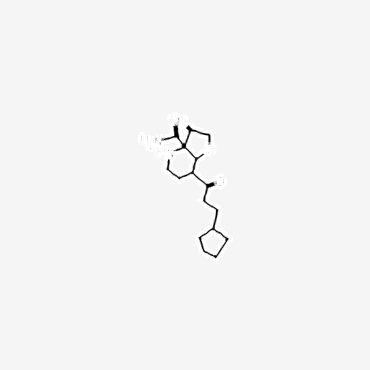 NC(=O)C12NCCC(C(=O)[CH]CC3CCCC3)C1OCC2=O